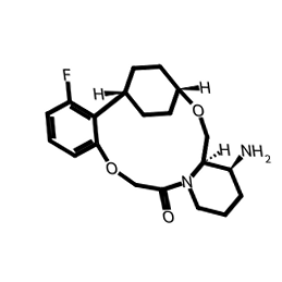 N[C@H]1CCCN2C(=O)COc3cccc(F)c3[C@H]3CC[C@H](CC3)OC[C@@H]12